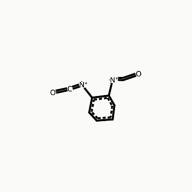 O=C=[N+]c1ccccc1[N+]=C=O